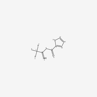 CC(F)(F)C(=N)CC(=O)c1cccs1